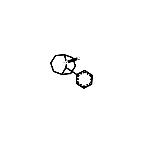 O=[PH]1C2CCCC(CCC2)C1c1ccccc1